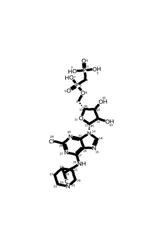 O=P(O)(O)CP(=O)(O)OC[C@H]1O[C@@H](n2cnc3c(NC4CN5CCC4CC5)nc(Cl)nc32)C(O)C1O